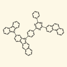 c1ccc(-c2nc(-c3ccc(-n4c5cc(-n6c7ccccc7c7ccccc76)ccc5c5cc6ccccc6cc54)cc3)nc(-c3ccc4c(ccc5ccccc54)c3)n2)cc1